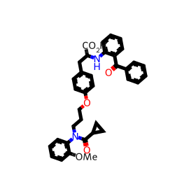 COc1ccccc1N(CCCOc1ccc(CC(Nc2ccccc2C(=O)c2ccccc2)C(=O)O)cc1)C(=O)C1CC1